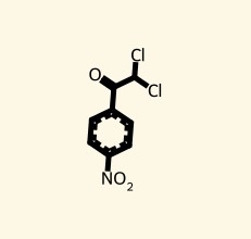 O=C(c1ccc([N+](=O)[O-])cc1)C(Cl)Cl